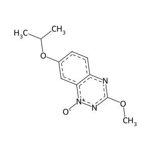 COc1nc2ccc(OC(C)C)cc2[n+]([O-])n1